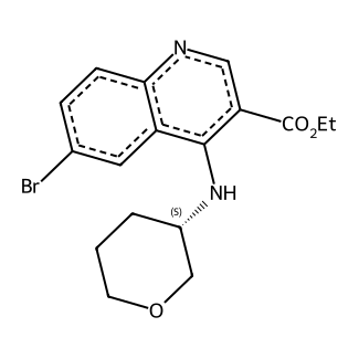 CCOC(=O)c1cnc2ccc(Br)cc2c1N[C@H]1CCCOC1